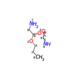 CCCOC(=O)CN.N=C=O